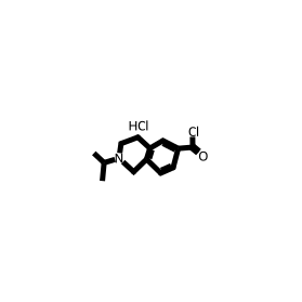 CC(C)N1CCc2cc(C(=O)Cl)ccc2C1.Cl